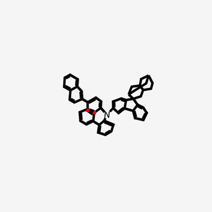 c1ccc(-c2ccccc2N(c2ccc(-c3ccc4ccccc4c3)cc2)c2ccc3c(c2)-c2ccccc2C32CC3CCC4CC3CC2C4)cc1